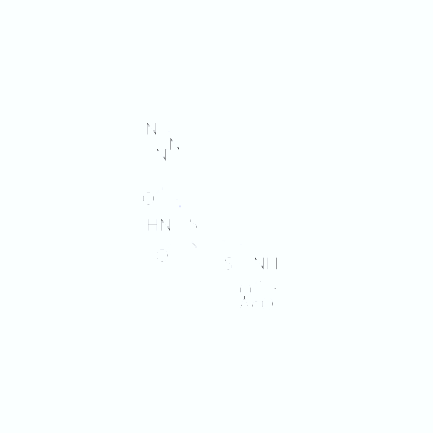 CC(=O)OC(C)(C)C(=O)Nc1ccc(/C=c2\s/c(=C/C(=O)C(C)(C)n3cncn3)[nH]c2=O)s1